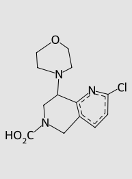 O=C(O)N1Cc2ccc(Cl)nc2C(N2CCOCC2)C1